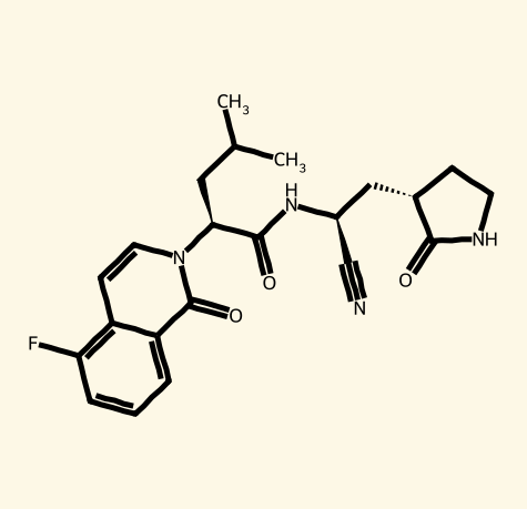 CC(C)C[C@@H](C(=O)N[C@H](C#N)C[C@@H]1CCNC1=O)n1ccc2c(F)cccc2c1=O